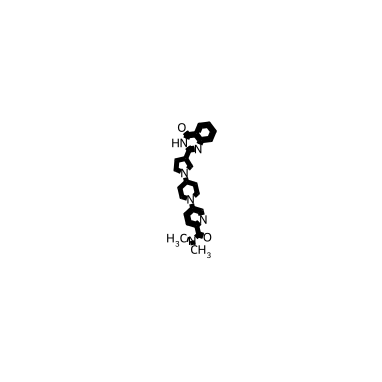 CN(C)C(=O)c1ccc(N2CCC(N3CCC(c4nc5ccccc5c(=O)[nH]4)C3)CC2)cn1